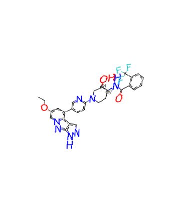 CCOc1cc(-c2ccc(N3CC[C@H](NC(=O)c4ccccc4C(F)(F)F)[C@H](O)C3)nc2)c2c3cn[nH]c3nn2c1